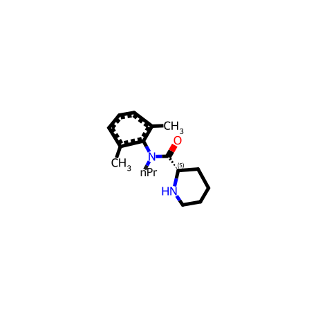 CCCN(C(=O)[C@@H]1CCCCN1)c1c(C)cccc1C